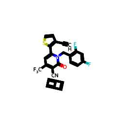 C#Cc1ccsc1-c1cc(C(F)(F)F)c(C#N)c(=O)n1Cc1ccc(F)cc1F.c1cc2ccc1-2